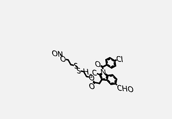 Cc1c(CC(=O)OCCSSCCON=O)c2cc(C=O)ccc2n1C(=O)c1ccc(Cl)cc1